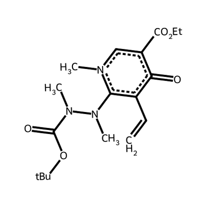 C=Cc1c(N(C)N(C)C(=O)OC(C)(C)C)n(C)cc(C(=O)OCC)c1=O